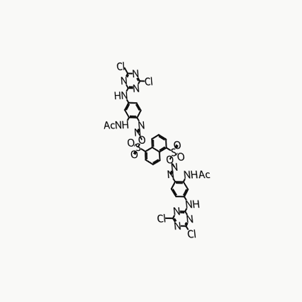 CC(=O)Nc1cc(Nc2nc(Cl)nc(Cl)n2)ccc1N=NOS(=O)(=O)c1cccc2c(S(=O)(=O)ON=Nc3ccc(Nc4nc(Cl)nc(Cl)n4)cc3NC(C)=O)cccc12